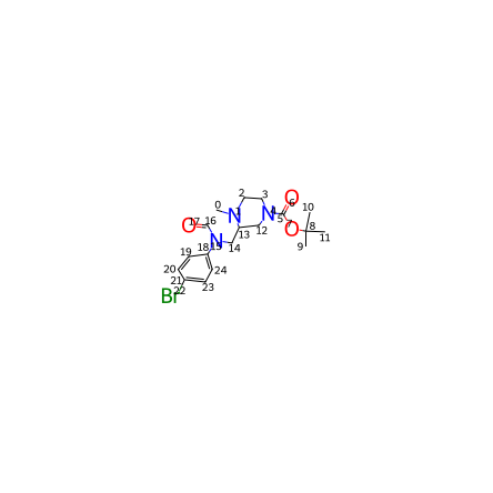 CN1CCN(C(=O)OC(C)(C)C)CC1CN(C=O)c1ccc(Br)cc1